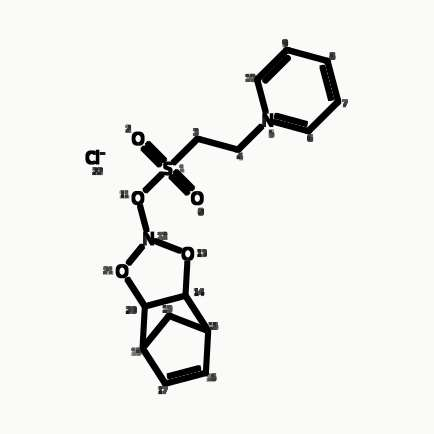 O=S(=O)(CC[n+]1ccccc1)ON1OC2C3C=CC(C3)C2O1.[Cl-]